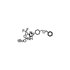 CC(C)(C)OC(=O)Nc1cn([C@H]2CC[C@H](COCc3ccccc3)CC2)nc1OC(F)F